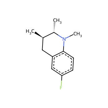 C[C@@H]1Cc2cc(F)ccc2N(C)[C@H]1C